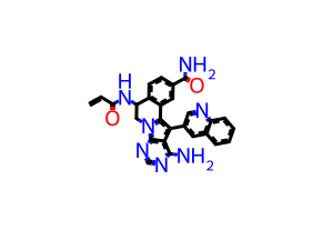 C=CC(=O)NC1Cn2c(c(-c3cnc4ccccc4c3)c3c(N)ncnc32)-c2cc(C(N)=O)ccc21